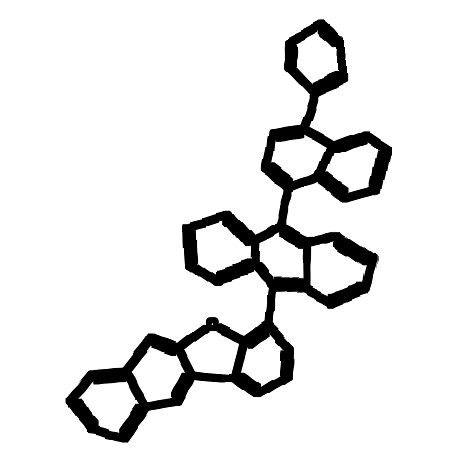 c1ccc(-c2ccc(-c3c4ccccc4c(-c4cccc5c4oc4cc6ccccc6cc45)c4ccccc34)c3ccccc23)cc1